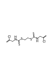 C=C(Cl)CNC(=S)SCCSC(=S)NCC(=C)Cl